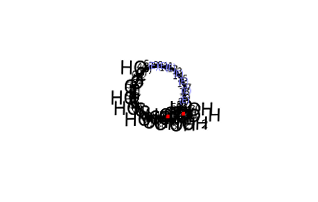 C[C@H]1C[C@H](O)[C@@H](C)/C=C/C=C/C=C/C=C/C=C/C=C/C=C/[C@H](O[C@@H]2OC[C@@H](O)C[C@@H]2O)C[C@@H]2O[C@](O)(C[C@@H](O)C[C@@H](O)[C@H](O)CC[C@@H](O)C[C@@H](O)CC(=O)O1)C[C@H](O)[C@H]2C(=O)O